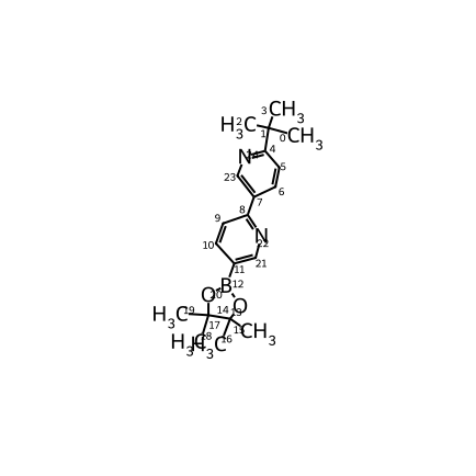 CC(C)(C)c1ccc(-c2ccc(B3OC(C)(C)C(C)(C)O3)cn2)cn1